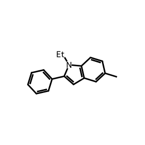 CCn1c(-c2ccccc2)cc2cc(C)ccc21